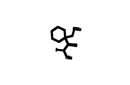 CCCCC(I)C(=O)C1(COC)CCCCC1